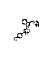 COc1ccc(-c2cc(-n3cc(Cn4ccnc4)c4ccccc43)on2)cc1